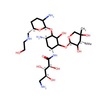 CN[C@@H]1C(O)[C@@H](OC2C(O)C(O[C@H]3O[C@H](CNCCO)CCC3N)[C@@H](N)C[C@H]2NC(=O)[C@@H](O)[C@@H](O)[C@@H](O)CN)OCC1(C)O